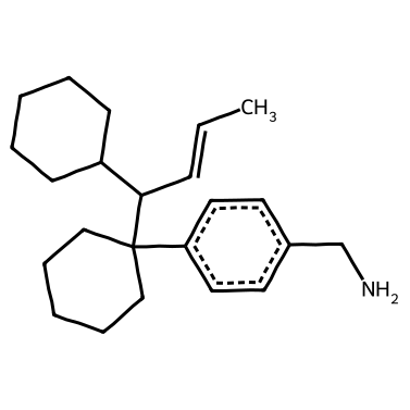 C/C=C/C(C1CCCCC1)C1(c2ccc(CN)cc2)CCCCC1